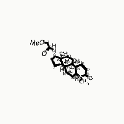 COCC(=O)N[C@H]1CC[C@H]2[C@@H]3CC[C@H]4N(C)C(=O)C=C[C@]4(C)[C@H]3CC[C@]12C